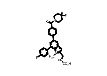 Cn1c(CNC(=O)O)cc2cc(-c3ccc(C(=O)N4CCC(F)(F)CC4)cc3)cc(-c3ccc(F)cc3)c21